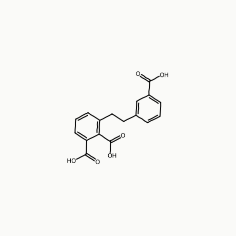 O=C(O)c1cccc(CCc2cccc(C(=O)O)c2C(=O)O)c1